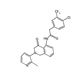 Cc1ncccc1N1CC(=O)c2c(cccc2NC(=O)Cc2ccc(Cl)c(C(F)(F)F)c2)C1